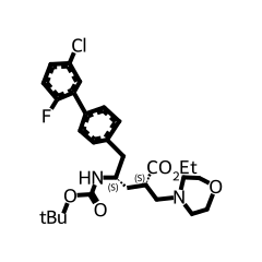 CCOC(=O)[C@@H](C[C@@H](Cc1ccc(-c2cc(Cl)ccc2F)cc1)NC(=O)OC(C)(C)C)CN1CCOCC1